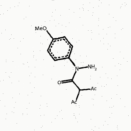 COc1ccc(N(N)C(=O)C(C(C)=O)C(C)=O)cc1